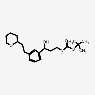 CC(C)(C)OC(=O)NCCC(O)c1cccc(CCC2CCCCO2)c1